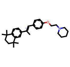 C/C(=C\c1ccc(OCCN2CCCCC2)cc1)c1ccc2c(c1)C(C)(C)CCC2(C)C